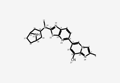 Cc1cn2cc(-c3ccc4nc(N(C)C5CC6CCC(C5)N6)sc4n3)cc(C#N)c2n1